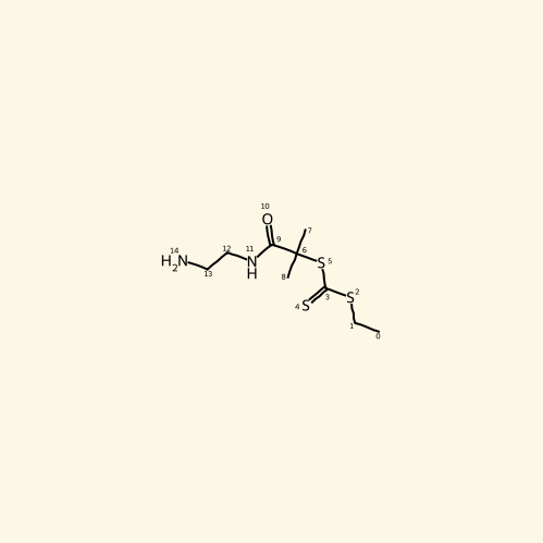 CCSC(=S)SC(C)(C)C(=O)NCCN